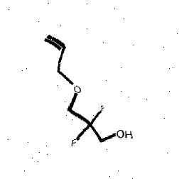 C=CCOCC(F)(F)CO